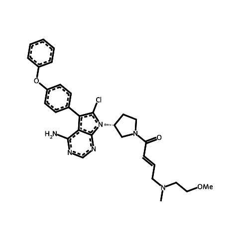 COCCN(C)CC=CC(=O)N1CC[C@@H](n2c(Cl)c(-c3ccc(Oc4ccccc4)cc3)c3c(N)ncnc32)C1